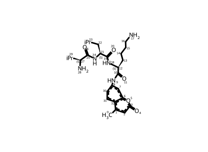 Cc1cc(=O)oc2cc(NC(=O)[C@H](CCCCN)NC(=O)[C@H](CC(C)C)NC(=O)[C@@H](N)C(C)C)ccc12